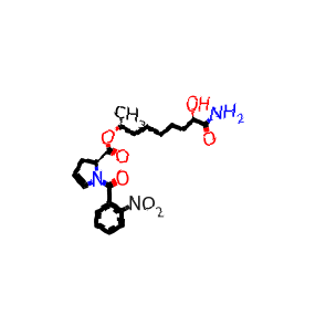 C[C@H](CCCCC[C@@H](O)C(N)=O)OC(=O)[C@@H]1CC=CN1C(=O)c1ccccc1[N+](=O)[O-]